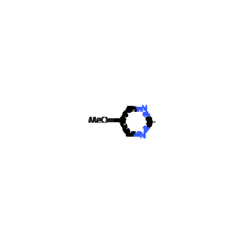 COc1cn[c]nc1